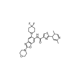 CC1=CC(c2nc(C(=O)Nc3cc4oc(N5CCOCC5)nc4cc3N3CCC(F)(F)CC3)cs2)C(C)C=N1